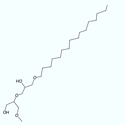 CCCCCCCCCCCCCCCCOCC(O)COC(CO)COC